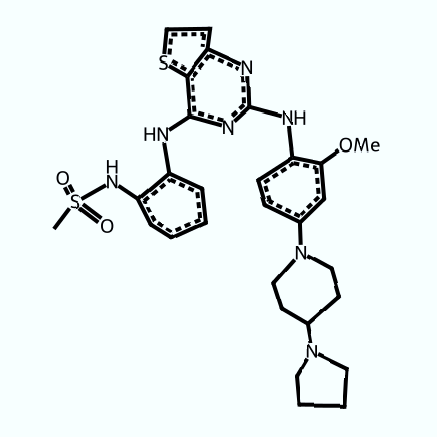 COc1cc(N2CCC(N3CCCC3)CC2)ccc1Nc1nc(Nc2ccccc2NS(C)(=O)=O)c2sccc2n1